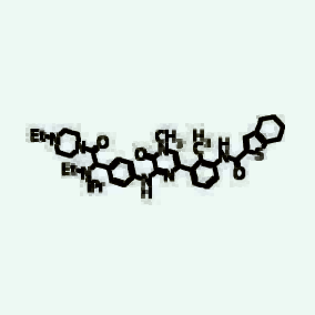 CCN1CCN(C(=O)C(c2ccc(Nc3nc(-c4cccc(NC(=O)c5cc6c(s5)CCCC6)c4C)cn(C)c3=O)cc2)N(CC)C(C)C)CC1